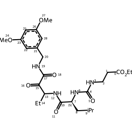 CCOC(=O)CCNC(=O)N[C@@H](CC(C)C)C(=O)NC(CC)C(=O)C(=O)NCc1cc(OC)cc(OC)c1